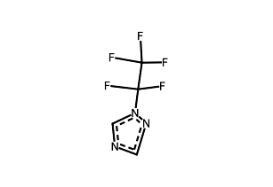 FC(F)(F)C(F)(F)n1cncn1